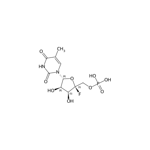 Cc1cn([C@@H]2O[C@](F)(COP(=O)(O)O)[C@@H](O)[C@H]2O)c(=O)[nH]c1=O